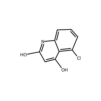 Oc1cc(O)c2c(Cl)cccc2n1